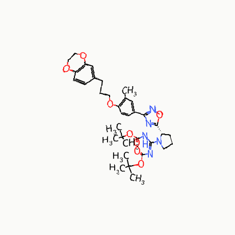 Cc1cc(-c2noc([C@@H]3CCCN3/C(=N/C(=O)OC(C)(C)C)NC(=O)OC(C)(C)C)n2)ccc1OCCCc1ccc2c(c1)OCCO2